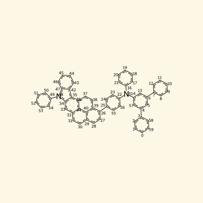 c1ccc(-c2cc(-c3ccccc3)cc(N(c3ccccc3)c3ccc(-c4ccc5ccc6cc7c(c8ccc4c5c68)c4ccccc4n7-c4ccccc4)cc3)c2)cc1